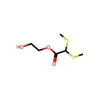 CSC(SC)C(=O)OCCO